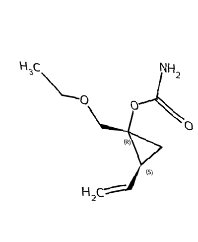 C=C[C@@H]1C[C@@]1(COCC)OC(N)=O